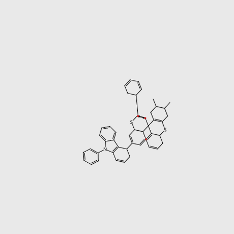 CC1CC2=C(CC1C)C1(C3=CC=CCC3S2)C2C=CC(C3C=CC=CC3)=CC2SC2C=C(C3CC=Cc4c3c3ccccc3n4-c3ccccc3)C=CC21